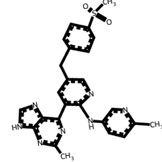 Cc1ccc(Nc2ncc(Cc3ccc(S(C)(=O)=O)cc3)cc2-c2nc(C)nc3[nH]cnc23)cn1